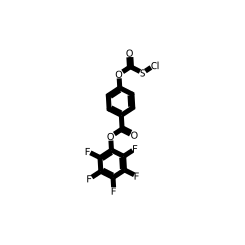 O=C(Oc1ccc(C(=O)Oc2c(F)c(F)c(F)c(F)c2F)cc1)SCl